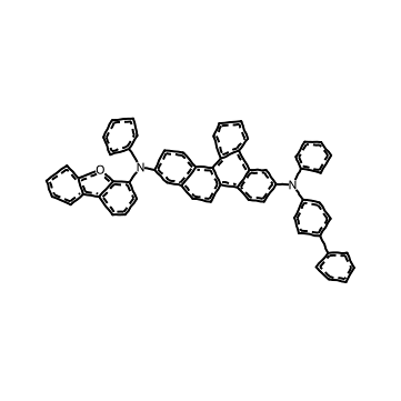 c1ccc(-c2ccc(N(c3ccccc3)c3ccc4c(c3)c3ccccc3c3c5ccc(N(c6ccccc6)c6cccc7c6oc6ccccc67)cc5ccc43)cc2)cc1